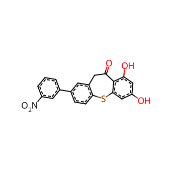 O=C1Cc2cc(-c3cccc([N+](=O)[O-])c3)ccc2Sc2cc(O)cc(O)c21